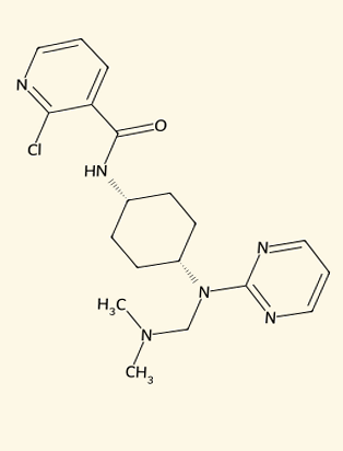 CN(C)CN(c1ncccn1)[C@H]1CC[C@@H](NC(=O)c2cccnc2Cl)CC1